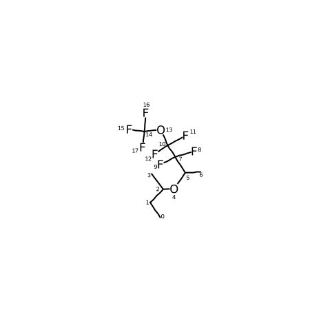 CCC(C)OC(C)C(F)(F)C(F)(F)OC(F)(F)F